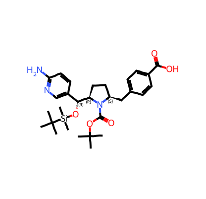 CC(C)(C)OC(=O)N1[C@H](Cc2ccc(C(=O)O)cc2)CC[C@@H]1[C@H](O[Si](C)(C)C(C)(C)C)c1ccc(N)nc1